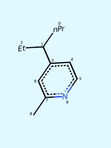 CCCC(CC)c1ccnc(C)c1